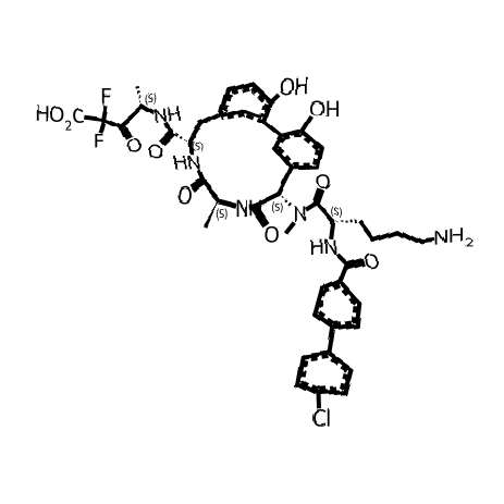 C[C@@H]1NC(=O)[C@@H](N(C)C(=O)[C@H](CCCCN)NC(=O)c2ccc(-c3ccc(Cl)cc3)cc2)c2ccc(O)c(c2)-c2cc(ccc2O)C[C@@H](C(=O)N[C@@H](C)C(=O)C(F)(F)C(=O)O)NC1=O